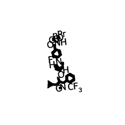 CCCS(=O)(=O)NC(=O)c1ccc(N2C[C@@H]3C[C@H]2C[C@H]3OCc2c(-c3ccccc3C(F)(F)F)noc2C2CC2)c(F)c1